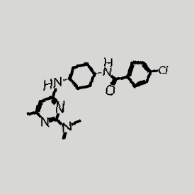 Cc1cc(N[C@H]2CC[C@@H](NC(=O)c3ccc(Cl)cc3)CC2)nc(N(C)C)n1